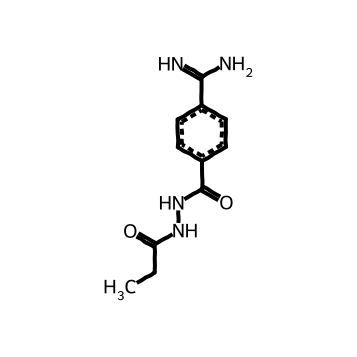 CCC(=O)NNC(=O)c1ccc(C(=N)N)cc1